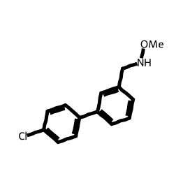 CONCc1cccc(-c2ccc(Cl)cc2)c1